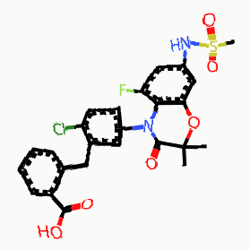 CC1(C)Oc2cc(NS(C)(=O)=O)cc(F)c2N(c2ccc(Cl)c(Cc3ccccc3C(=O)O)c2)C1=O